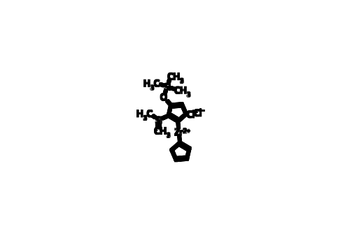 C[SiH](C)C1=[C]([Zr+2][C]2=CC=CC2)CC=C1O[Si](C)(C)C.[Cl-].[Cl-]